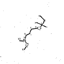 CCC(C)(C)OCCCN(C)OC